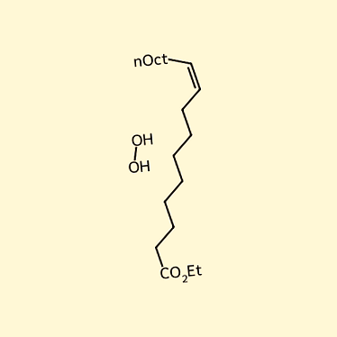 CCCCCCCC/C=C\CCCCCCCC(=O)OCC.OO